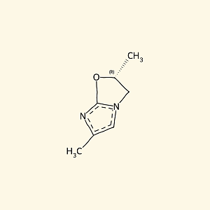 Cc1cn2c(n1)O[C@H](C)C2